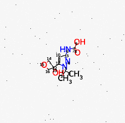 CC(C)n1nc(NC(=O)O)cc1C1(O)COC1